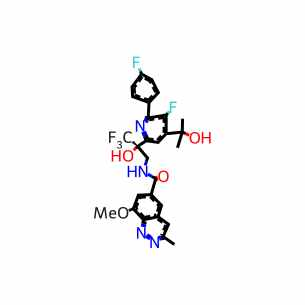 COc1cc(C(=O)NC[C@](O)(c2cc(C(C)(C)O)c(F)c(-c3ccc(F)cc3)n2)C(F)(F)F)cc2cc(C)nnc12